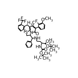 COc1cccc(-c2c(C)c(Cc3c(F)cccc3C(F)(F)F)c3n(c2=O)C(C(NCCC(NC(=O)OC(C)(C)C)C(=O)OC(C)(C)C)c2ccccc2)CS3)c1F